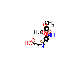 COc1ccc(S(=O)(=O)Nc2ccc(-c3cnc(CCCC(=O)O)s3)cc2)c(OC)c1